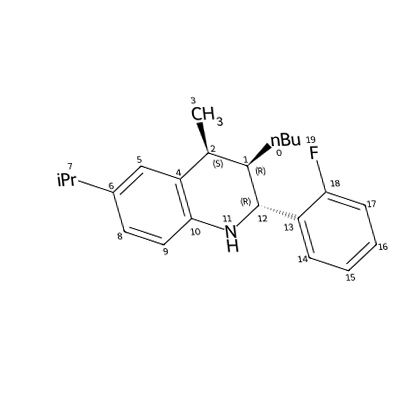 CCCC[C@@H]1[C@H](C)c2cc(C(C)C)ccc2N[C@H]1c1ccccc1F